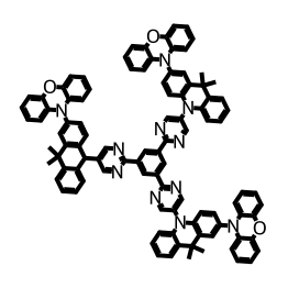 CC1(C)c2ccccc2C(c2cnc(-c3cc(-c4ncc(N5c6ccccc6C(C)(C)c6cc(N7c8ccccc8Oc8ccccc87)ccc65)cn4)cc(-c4ncc(N5c6ccccc6C(C)(C)c6cc(N7c8ccccc8Oc8ccccc87)ccc65)cn4)c3)nc2)c2ccc(N3c4ccccc4Oc4ccccc43)cc21